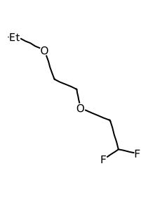 C[CH]OCCOCC(F)F